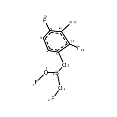 FOB(OF)Oc1ccc(F)c(F)c1F